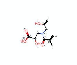 C=C(O)CN(CC(O)C(=O)O)C(=O)C(=C)C